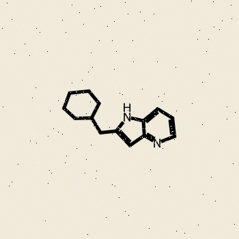 c1cnc2cc(CC3CCCCC3)[nH]c2c1